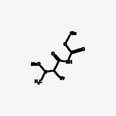 CON(C)C(C(=O)NC(=O)OC(C)(C)C)C(C)C